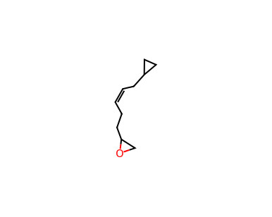 C(=C/CC1CC1)/CCC1CO1